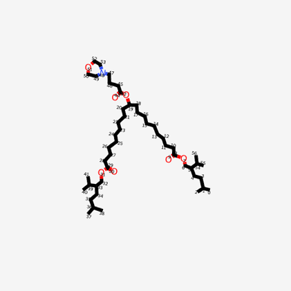 CC(C)CCC(COC(=O)CCCCCCCCCC(CCCCCCCCCC(=O)OCC(CCC(C)C)C(C)C)OC(=O)CCCN1CCOCC1)C(C)C